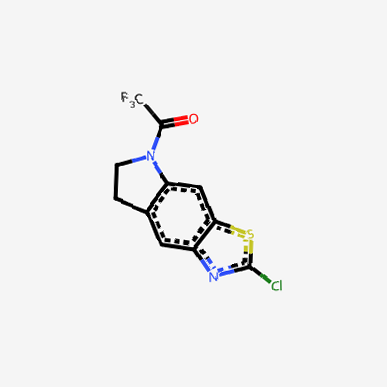 O=C(N1CCc2cc3nc(Cl)sc3cc21)C(F)(F)F